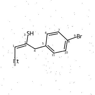 CC/C=C(/S)Cc1ccc(Br)cc1